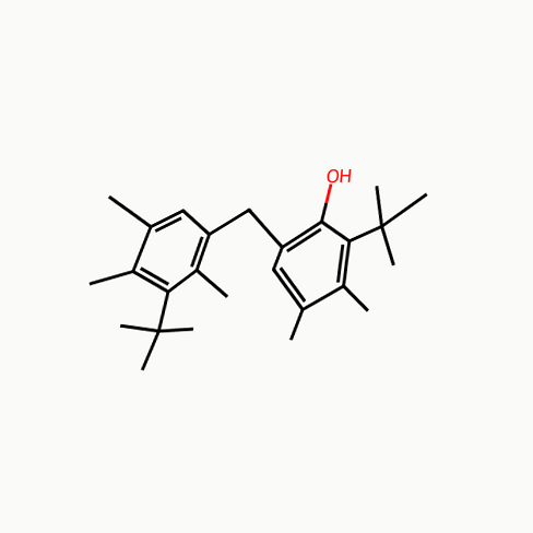 Cc1cc(Cc2cc(C)c(C)c(C(C)(C)C)c2O)c(C)c(C(C)(C)C)c1C